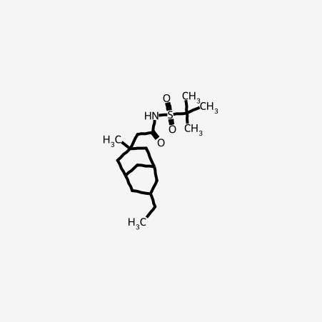 CCC1CC2CC(C1)CC(C)(CC(=O)NS(=O)(=O)C(C)(C)C)C2